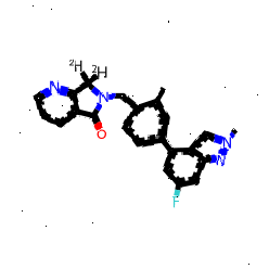 [2H]C1([2H])c2ncccc2C(=O)N1Cc1ccc(-c2cc(F)cc3nn(C)cc23)cc1C